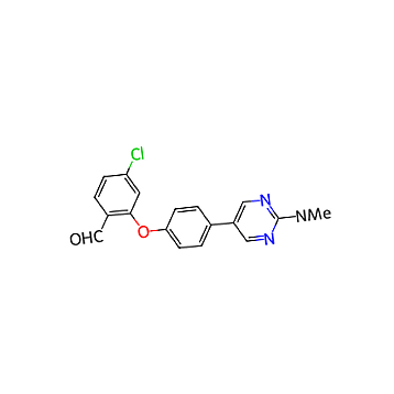 CNc1ncc(-c2ccc(Oc3cc(Cl)ccc3C=O)cc2)cn1